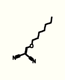 CCCCCCCOC=C(C#N)C#N